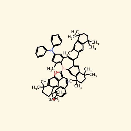 Cc1cc2c(cc1CC1=Cc3cc(N(c4ccccc4)c4ccccc4)cc(C)c3B(c3oc4cc5c(cc4c3/C=C\c3ccc(C(C)(C)C)cc3)C(C)(C)CCC5(C)C)c3cc4c(cc31)C(C)(C)CCC4(C)C)C(C)(C)CCC2(C)C